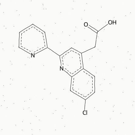 O=C(O)Cc1cc(-c2ccccn2)nc2cc(Cl)ccc12